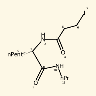 CCCCC[C@H](NC(=O)CCI)C(=O)NCCC